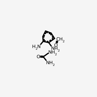 C=O.NC(N)=O.Nc1ccccc1N